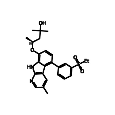 CCS(=O)(=O)c1cccc(-c2ccc(O[C@@H](C)CC(C)(C)O)c3[nH]c4ncc(C)cc4c23)c1